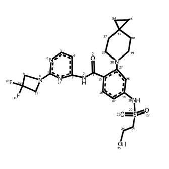 O=C(Nc1ccnc(N2CC(F)(F)C2)n1)c1ccc(NS(=O)(=O)CCO)cc1N1CCC2(CC1)CC2